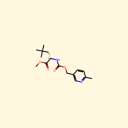 COC(=O)[C@H](CC(C)(C)C)NC(=O)OCc1ccc(C)nc1